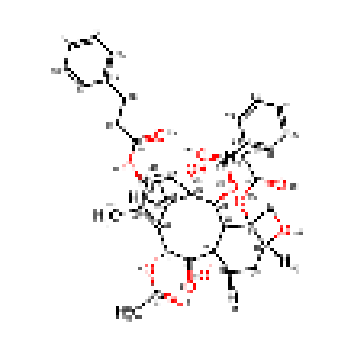 CC(=O)O[C@H]1C(=O)[C@]23O[C@H]2C[C@H]2OC[C@@]2(OC(C)=O)C3[C@H](OC(=O)c2ccccc2)[C@]2(O)C[C@H](OC(=O)CCc3ccccc3)C(C)=C1C2(C)C